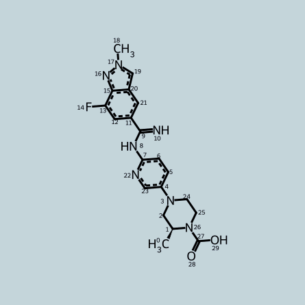 C[C@H]1CN(c2ccc(NC(=N)c3cc(F)c4nn(C)cc4c3)nc2)CCN1C(=O)O